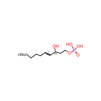 CCCCCCCCCCCC/C=C/[C@@H](O)CCOP(=O)(O)O